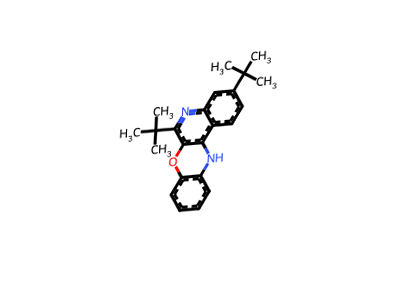 CC(C)(C)c1ccc2c3c(c(C(C)(C)C)nc2c1)Oc1ccccc1N3